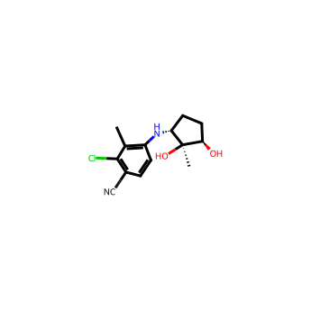 Cc1c(N[C@@H]2CC[C@@H](O)[C@@]2(C)O)ccc(C#N)c1Cl